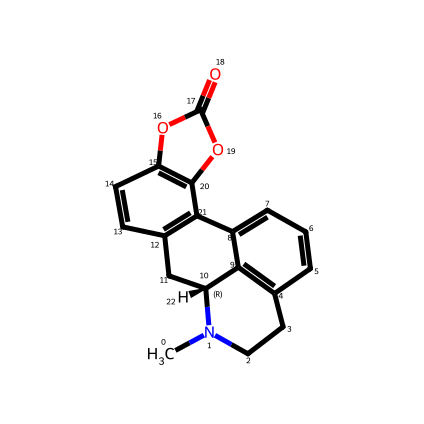 CN1CCc2cccc3c2[C@H]1Cc1ccc2oc(=O)oc2c1-3